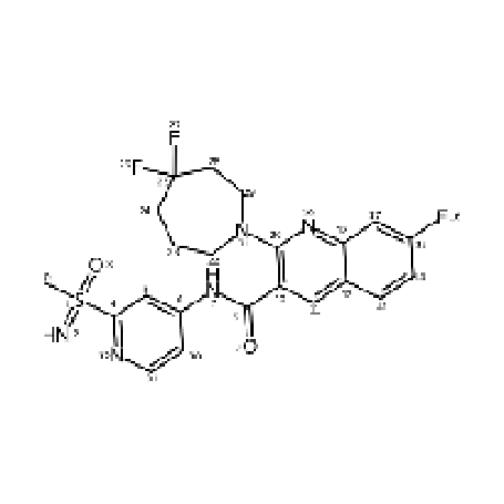 CS(=N)(=O)c1cc(NC(=O)c2cc3ccc(F)cc3nc2N2CCCC(F)(F)CC2)ccn1